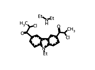 CCNCC.CCn1c2ccc(C(=O)C(C)Cl)cc2c2cc(C(=O)C(C)Cl)ccc21